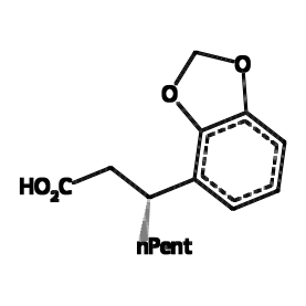 CCCCC[C@H](CC(=O)O)c1cccc2c1OCO2